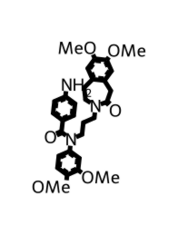 COc1ccc(N(CCCN2CCc3cc(OC)c(OC)cc3CC2=O)C(=O)c2ccc(N)cc2)cc1OC